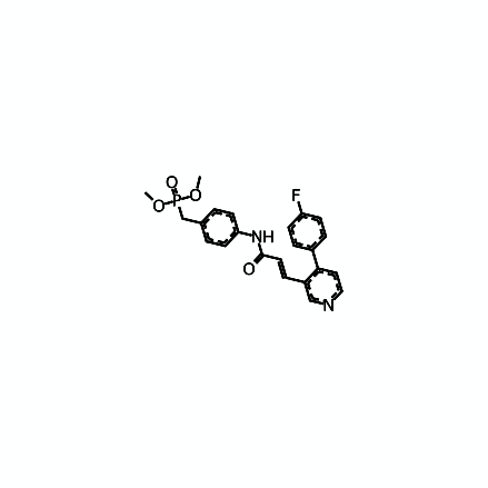 COP(=O)(Cc1ccc(NC(=O)/C=C/c2cnccc2-c2ccc(F)cc2)cc1)OC